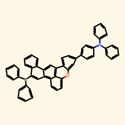 c1ccc(B(c2ccccc2)c2cc3c4cccc5c4c(cc3c3ccccc23)-c2ccc(-c3ccc(N(c4ccccc4)c4ccccc4)cc3)cc2O5)cc1